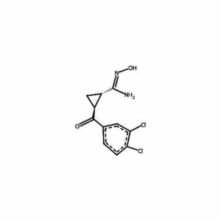 N/C(=N\O)[C@H]1C[C@@H]1C(=O)c1ccc(Cl)c(Cl)c1